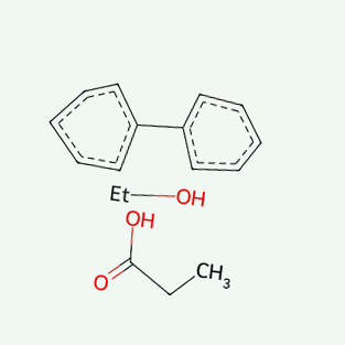 CCC(=O)O.CCO.c1ccc(-c2ccccc2)cc1